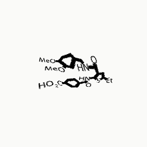 CCc1cc(C(=O)NCc2ccc(OC)c(OC)c2)c(NC(=O)c2ccc(C(=O)O)cc2)s1